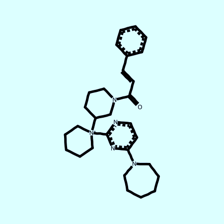 O=C(/C=C/c1ccccc1)N1CCCC([N+]2(c3nccc(N4CCCCCC4)n3)CCCCC2)C1